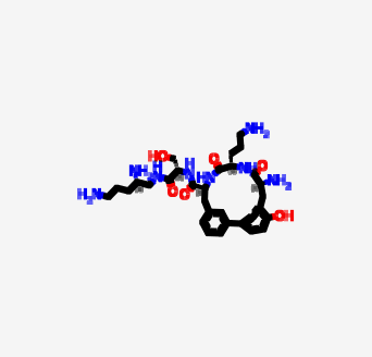 NCCC[C@H](N)CNC(=O)[C@H](CO)NC(=O)[C@@H]1Cc2cccc(c2)-c2ccc(O)c(c2)C[C@H](N)C(=O)N[C@@H](CCCN)C(=O)N1